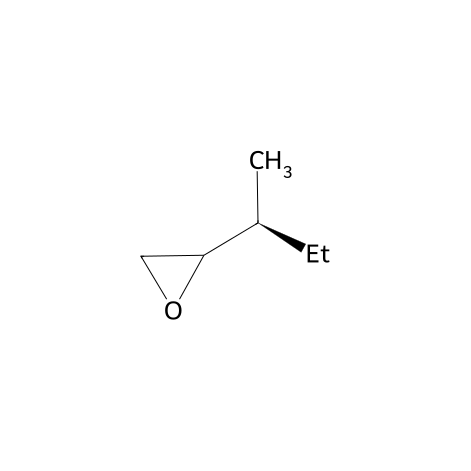 CC[C@H](C)C1CO1